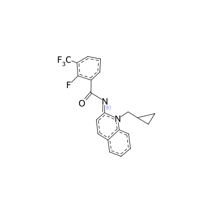 O=C(/N=c1\ccc2ccccc2n1CC1CC1)c1cccc(C(F)(F)F)c1F